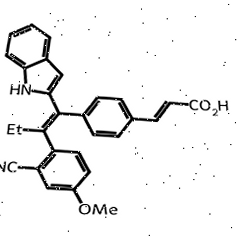 CC/C(=C(/c1ccc(/C=C/C(=O)O)cc1)c1cc2ccccc2[nH]1)c1ccc(OC)cc1C#N